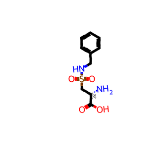 N[C@@H](CS(=O)(=O)NCc1ccccc1)C(=O)O